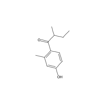 CCC(C)C(=O)c1ccc(O)cc1C